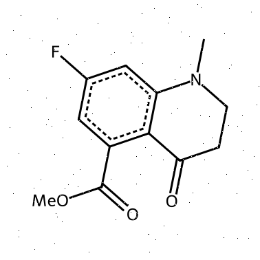 COC(=O)c1cc(F)cc2c1C(=O)CCN2C